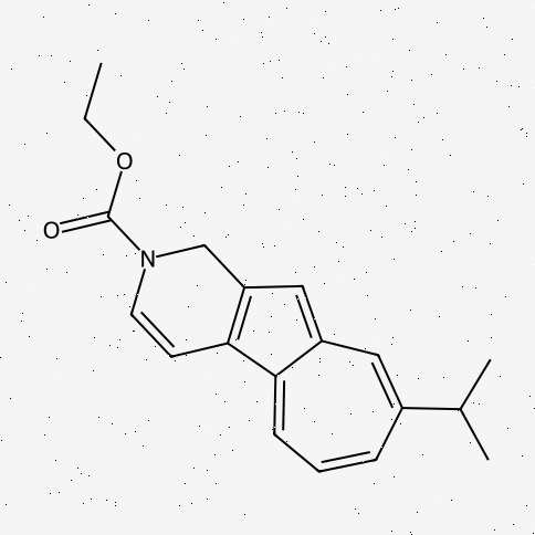 CCOC(=O)N1C=Cc2c(cc3cc(C(C)C)cccc2-3)C1